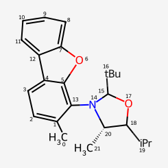 Cc1ccc2c(oc3ccccc32)c1N1C(C(C)(C)C)OC(C(C)C)[C@@H]1C